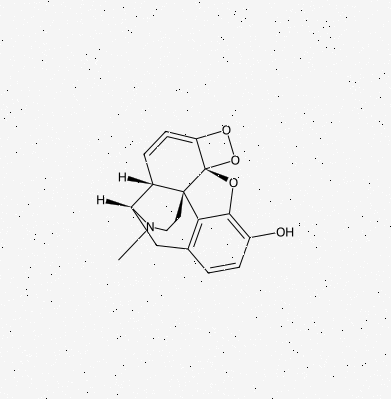 CN1CC[C@]23c4c5ccc(O)c4O[C@@]24OOC4=C=C[C@H]3[C@H]1C5